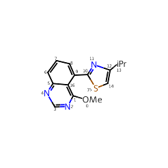 COc1n[c]nc2cccc(-c3nc(C(C)C)cs3)c12